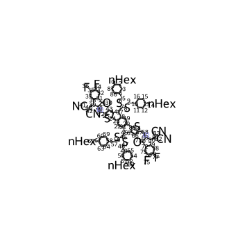 CCCCCCc1ccc(CSC(SCc2ccc(CCCCCC)cc2)=C2c3cc4c(cc3-c3sc(/C=C5\C(=O)c6cc(F)c(F)cc6C5=C(C#N)C#N)cc32)C(=C(SCc2ccc(CCCCCC)cc2)SCc2ccc(CCCCCC)cc2)c2cc(/C=C3\C(=O)c5cc(F)c(F)cc5C3=C(C#N)C#N)sc2-4)cc1